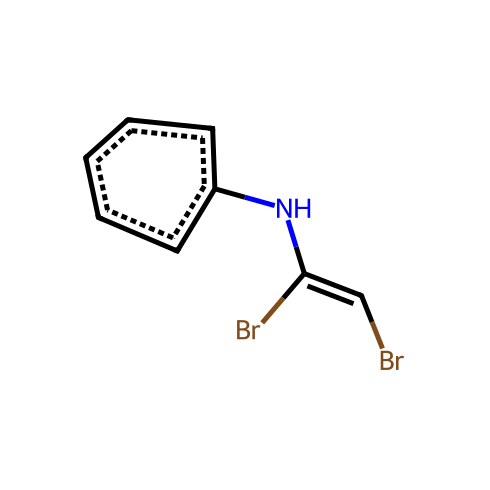 BrC=C(Br)Nc1ccccc1